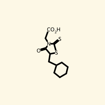 O=C(O)CN1C(=O)C(CC2CCCCC2)SC1=S